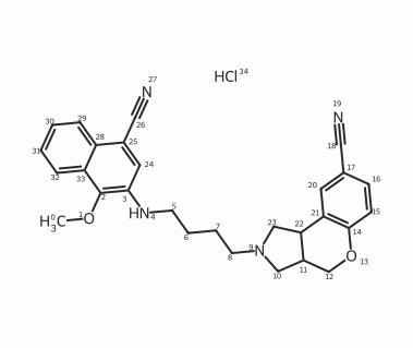 COc1c(NCCCCN2CC3COc4ccc(C#N)cc4C3C2)cc(C#N)c2ccccc12.Cl